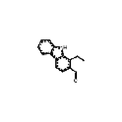 CCc1c(C=O)ccc2c1[nH]c1ccccc12